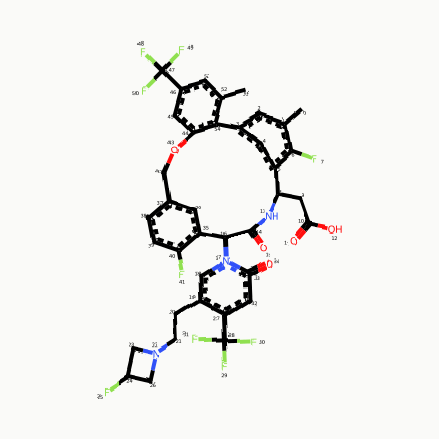 Cc1cc2cc(c1F)C(CC(=O)O)NC(=O)C(n1cc(CCN3CC(F)C3)c(C(F)(F)F)cc1=O)c1cc(ccc1F)COc1cc(C(F)(F)F)cc(C)c1-2